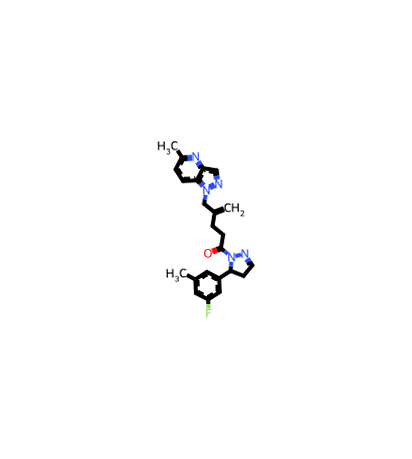 C=C(CCC(=O)N1N=CCC1c1cc(C)cc(F)c1)Cn1ncc2nc(C)ccc21